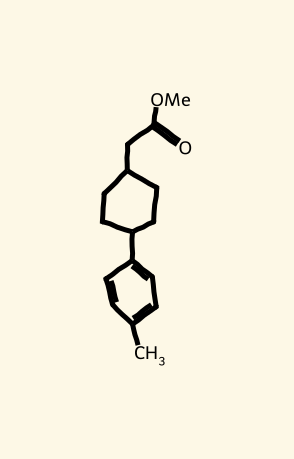 COC(=O)CC1CCC(c2ccc(C)cc2)CC1